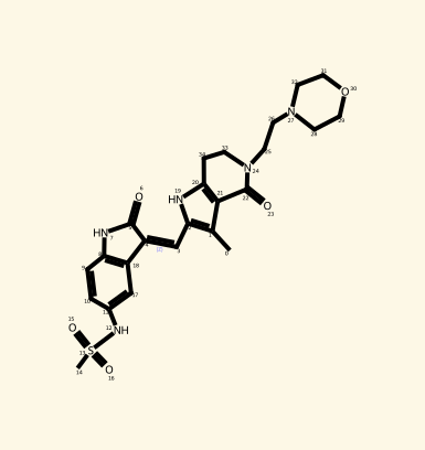 Cc1c(/C=C2\C(=O)Nc3ccc(NS(C)(=O)=O)cc32)[nH]c2c1C(=O)N(CCN1CCOCC1)CC2